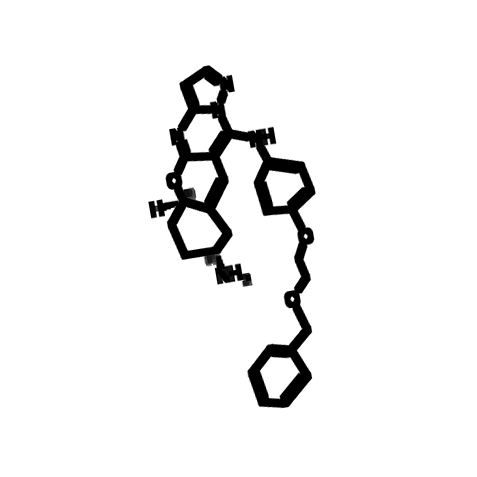 N[C@@H]1CC[C@H]2Oc3nc4ccnn4c(Nc4ccc(OCCOCc5ccccc5)cc4)c3C=C2C1